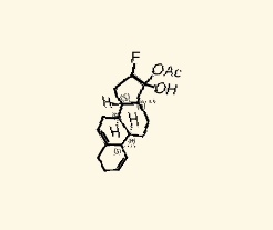 CC(=O)OC1(O)C(F)C[C@H]2[C@@H]3CC=C4CCC=C[C@]4(C)[C@@H]3CC[C@@]21C